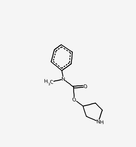 CN(C(=O)OC1CCNC1)c1ccccc1